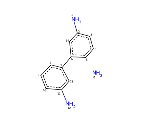 N.Nc1cccc(-c2cccc(N)c2)c1